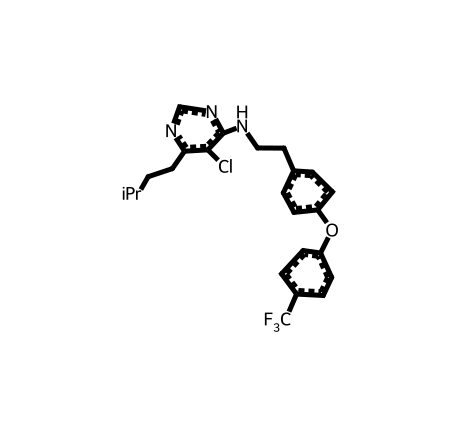 CC(C)CCc1ncnc(NCCc2ccc(Oc3ccc(C(F)(F)F)cc3)cc2)c1Cl